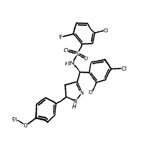 CCOc1ccc(C2CC(C(NS(=O)(=O)c3cc(Cl)ccc3F)c3ccc(Cl)cc3Cl)=NN2)cc1